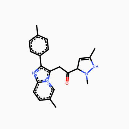 CC1=CC(C(=O)Cc2c(-c3ccc(C)cc3)nc3ccc(C)cn23)N(C)N1